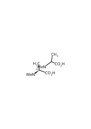 CNC(C)C(=O)O.CN[C@@H](C)C(=O)O